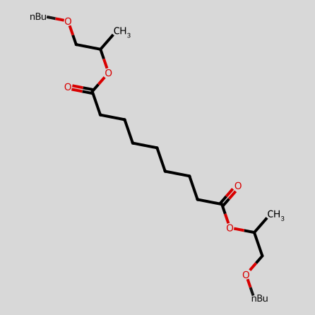 CCCCOCC(C)OC(=O)CCCCCCCC(=O)OC(C)COCCCC